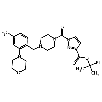 CCC(C)(C)OC(=O)c1ccn(C(=O)N2CCN(Cc3ccc(C(F)(F)F)cc3N3CCOCC3)CC2)n1